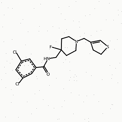 O=C(NCC1(F)CCN(CC2=CSCC2)CC1)c1cc(Cl)cc(Cl)c1